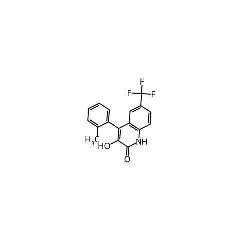 Cc1ccccc1-c1c(O)c(=O)[nH]c2ccc(C(F)(F)F)cc12